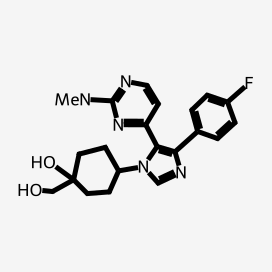 CNc1nccc(-c2c(-c3ccc(F)cc3)ncn2C2CCC(O)(CO)CC2)n1